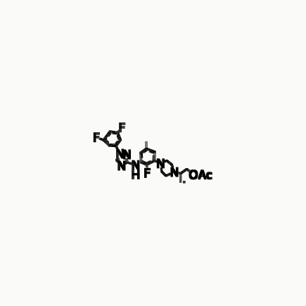 [CH2]C(COC(C)=O)N1CCN(c2cc(C)cc(Nc3ncn(-c4cc(F)cc(F)c4)n3)c2F)CC1